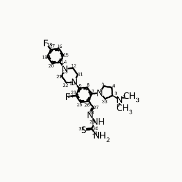 CN(C)[C@@H]1CCN(c2cc(N3CCN(c4ccc(F)cc4)CC3)c(F)cc2C=NNC(N)=S)C1